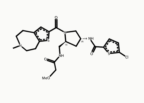 COCC(=O)NC[C@@H]1C[C@@H](NC(=O)c2ccc(Cl)s2)CN1C(=O)c1cc2c(s1)CCN(C)CC2